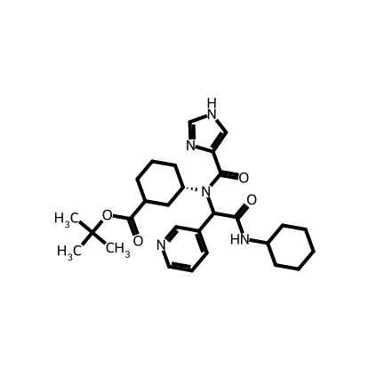 CC(C)(C)OC(=O)C1CCC[C@H](N(C(=O)c2c[nH]cn2)C(C(=O)NC2CCCCC2)c2cccnc2)C1